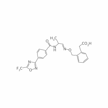 CC(C=NOCc1ccccc1CC(=O)O)NC(=O)c1ccc(-c2noc(C(F)(F)F)n2)cc1